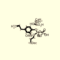 C=CCc1ccc(OP(=O)(OCCCCCCCCCCCC)OP(=O)(O)O)c(OC)c1.O=S(=O)(O)O.[CaH2].[NaH]